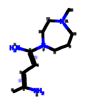 C/C(N)=C/C=C(\N)N1CCCN(C)CC1